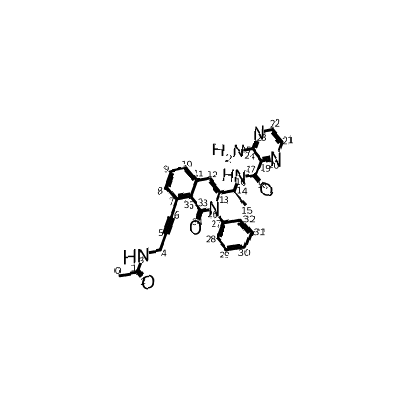 CC(=O)NCC#Cc1cccc2cc([C@H](C)NC(=O)c3nccnc3N)n(-c3ccccc3)c(=O)c12